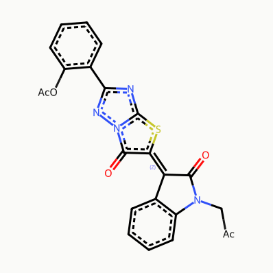 CC(=O)CN1C(=O)/C(=c2\sc3nc(-c4ccccc4OC(C)=O)nn3c2=O)c2ccccc21